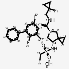 Cl.O=C(NCC1(F)CC1)N1CC2(CC2)[C@H](NS(=O)(=O)CF)[C@@H]1Cc1cc(F)cc(-c2ccccc2)c1F